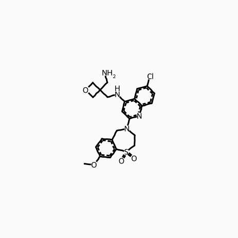 COc1ccc2c(c1)S(=O)(=O)CCN(c1cc(NCC3(CN)COC3)c3cc(Cl)ccc3n1)C2